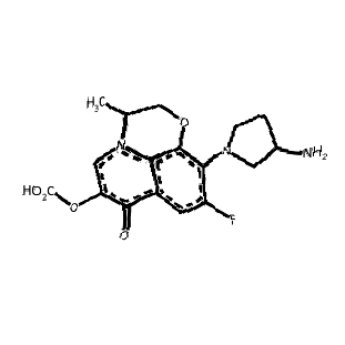 CC1COc2c(N3CCC(N)C3)c(F)cc3c(=O)c(OC(=O)O)cn1c23